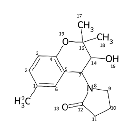 Cc1ccc2c(c1)C(N1CCCC1=O)C(O)C(C)(C)O2